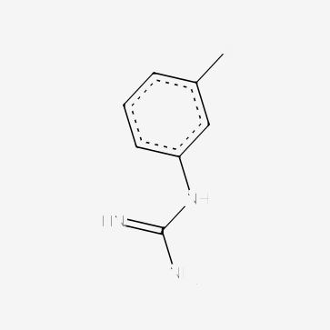 N=C(N)Nc1cccc(I)c1